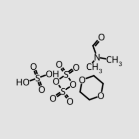 C1COCCO1.CN(C)C=O.O=S(=O)(O)O.O=S1(=O)OS(=O)(=O)O1